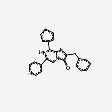 O=c1c(Cc2ccccc2)nc2c(-c3ccccc3)[nH]c(-c3ccncc3)cn1-2